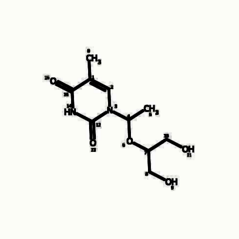 Cc1cn(C(C)OC(CO)CO)c(=O)[nH]c1=O